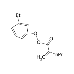 C=C(CCC)C(=O)OOc1cccc(CC)c1